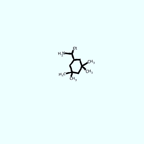 CCC(N)C1CC(C)(C)CC(C)(C)C1